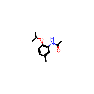 CC(=O)Nc1cc(C)ccc1OC(C)C